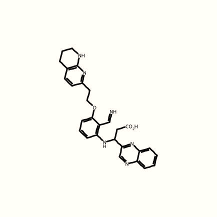 N=Cc1c(NC(CC(=O)O)c2cnc3ccccc3n2)cccc1OCCc1ccc2c(n1)NCCC2